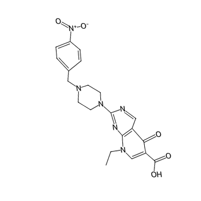 CCn1cc(C(=O)O)c(=O)c2cnc(N3CCN(Cc4ccc([N+](=O)[O-])cc4)CC3)nc21